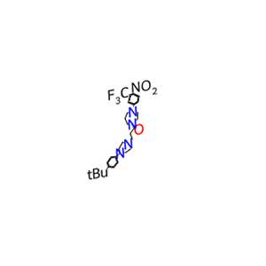 CC(C)(C)c1ccc(N2CCN(CCC(=O)N3CCCN(c4ccc([N+](=O)[O-])c(C(F)(F)F)c4)CC3)CC2)cc1